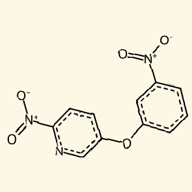 O=[N+]([O-])c1cccc(Oc2ccc([N+](=O)[O-])nc2)c1